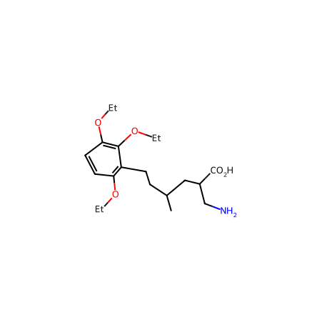 CCOc1ccc(OCC)c(OCC)c1CCC(C)CC(CN)C(=O)O